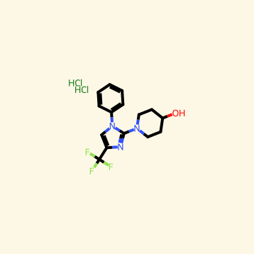 Cl.Cl.OC1CCN(c2nc(C(F)(F)F)cn2-c2ccccc2)CC1